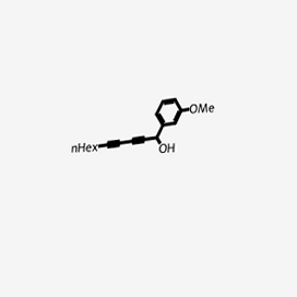 CCCCCCC#CC#CC(O)c1cccc(OC)c1